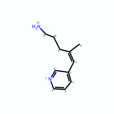 C/C(=C/c1cccnc1)CCCN